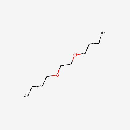 CC(=O)CCCOCCOCCCC(C)=O